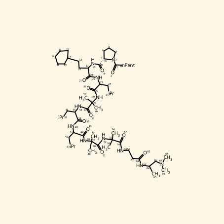 CCCCCC(=O)N1CCC[C@H]1C(=O)NC(CCC1CCCCC1)C(=O)NC(CC(C)C)C(=O)NC(C)(C)C(=O)NC(CC(C)C)C(=O)NC(CC(C)C)C(=O)NC(C)(C)C(=O)NC(C)(C)C(=O)NCCC(=O)NC(C)CN(C)C